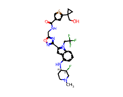 CN1CC[C@@H](Nc2cccc3c2cc(-c2noc(CNC(=O)c4csc(C5(CO)CC5)c4)n2)n3CC(F)(F)F)[C@@H](F)C1